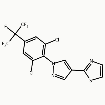 FC(F)(F)C(F)(c1cc(Cl)c(-n2cc(-c3nccs3)cn2)c(Cl)c1)C(F)(F)F